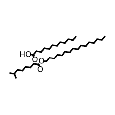 CCCCCCCCCCCC(=O)O.CCCCCCCCCCCCCCCCOC(=O)CCCCCC(C)C